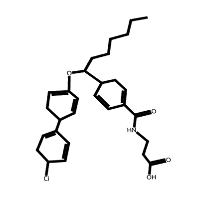 CCCCCCC(OC1=CCC(C2=CCC(Cl)C=C2)C=C1)C1C=CC(C(=O)NCCC(=O)O)=CC1